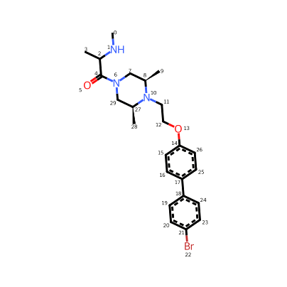 CNC(C)C(=O)N1C[C@@H](C)N(CCOc2ccc(-c3ccc(Br)cc3)cc2)[C@@H](C)C1